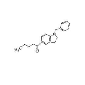 CCCCC(=O)c1ccc2c(c1)CCN2Cc1ccccc1